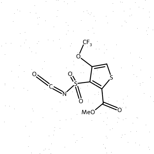 COC(=O)c1scc(OC(F)(F)F)c1S(=O)(=O)N=C=O